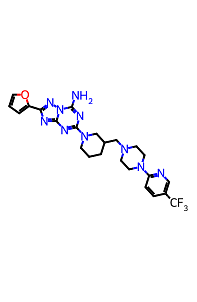 Nc1nc(N2CCCC(CN3CCN(c4ccc(C(F)(F)F)cn4)CC3)C2)nc2nc(-c3ccco3)nn12